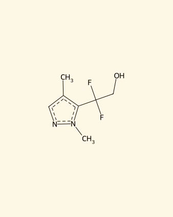 Cc1cnn(C)c1C(F)(F)CO